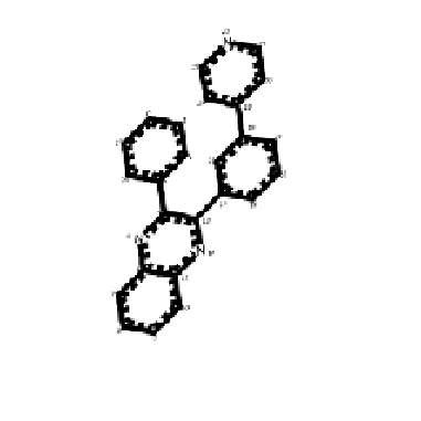 c1ccc(-c2nc3ccccc3nc2-c2cccc(-c3ccncc3)c2)cc1